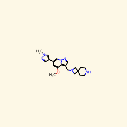 COc1cc(-c2cnn(C)c2)cn2ncc(CN3CC4(CCNCC4)C3)c12